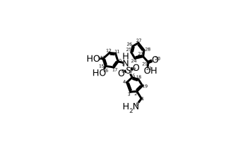 NCc1ccc(S(=O)(=O)Nc2ccc(O)c(O)c2)cc1.O=C(O)c1ccccc1